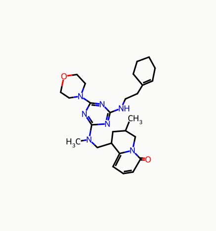 CC1CC(CN(C)c2nc(NCCC3=CCCCC3)nc(N3CCOCC3)n2)c2cccc(=O)n2C1